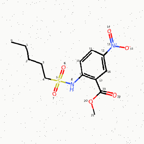 CCCCCS(=O)(=O)Nc1ccc([N+](=O)[O-])cc1C(=O)OC